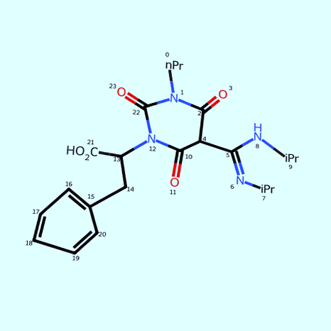 CCCN1C(=O)C(C(=NC(C)C)NC(C)C)C(=O)N(C(Cc2ccccc2)C(=O)O)C1=O